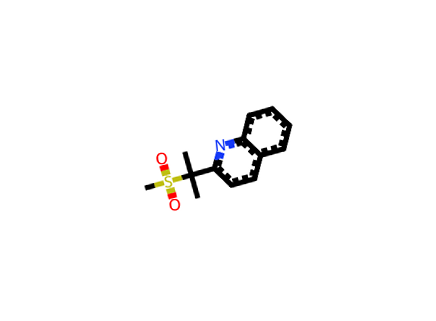 CC(C)(c1ccc2ccccc2n1)S(C)(=O)=O